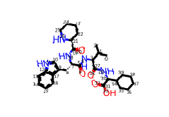 CC(C)[C@H](NC(=O)[C@H](Cc1c[nH]c2ccccc12)NC(=O)[C@@H]1CCCCN1)C(=O)N[C@H](C(=O)O)C1CCCCC1